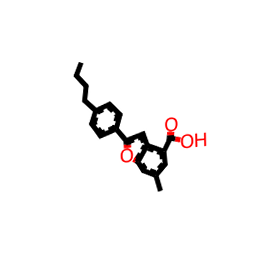 CCCCc1ccc(-c2cc3c(C(=O)O)cc(C)cc3o2)cc1